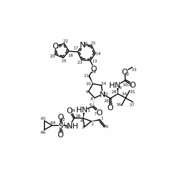 C=C[C@H]1C[C@]1(NC(=O)[C@@H]1C[C@@H](COc2ccnc(-c3ccoc3)c2)CN1C(=O)[C@@H](NC(=O)OC)C(C)(C)C)C(=O)NS(=O)(=O)C1CC1